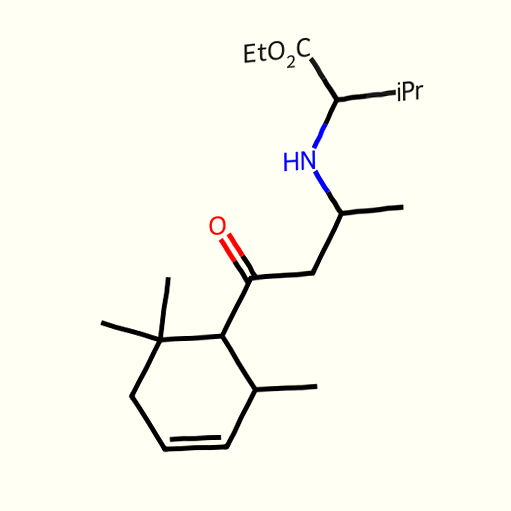 CCOC(=O)C(NC(C)CC(=O)C1C(C)C=CCC1(C)C)C(C)C